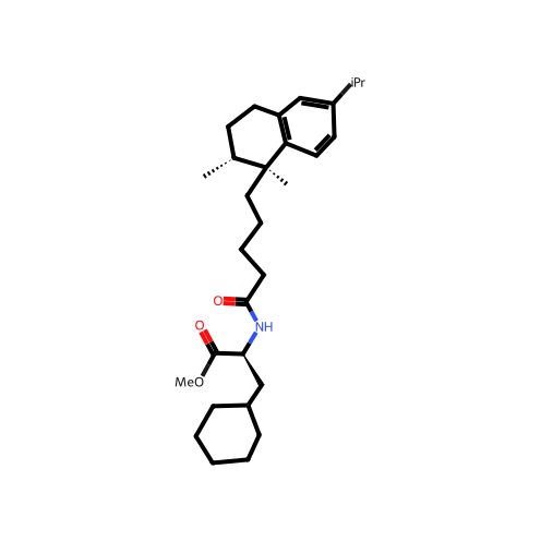 COC(=O)[C@H](CC1CCCCC1)NC(=O)CCCC[C@]1(C)c2ccc(C(C)C)cc2CC[C@H]1C